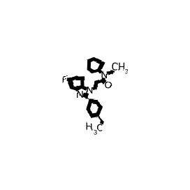 CCN(C(=O)CCn1c2ccc(F)cc2nc1[C@H]1CC[C@H](CC)CC1)C1CCCCC1